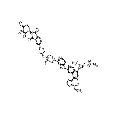 C=CC(=O)N1CCCC1c1ncc(N2C[C@H](CS(C)(=O)=O)[C@H]2C)c2cnc(Nc3ccnc(N4CC[C@@H](OC5CCN(c6ccc7c(c6)C(=O)N(C6CCC(=O)NC6=O)C7=O)CC5)[C@@H](F)C4)n3)cc12